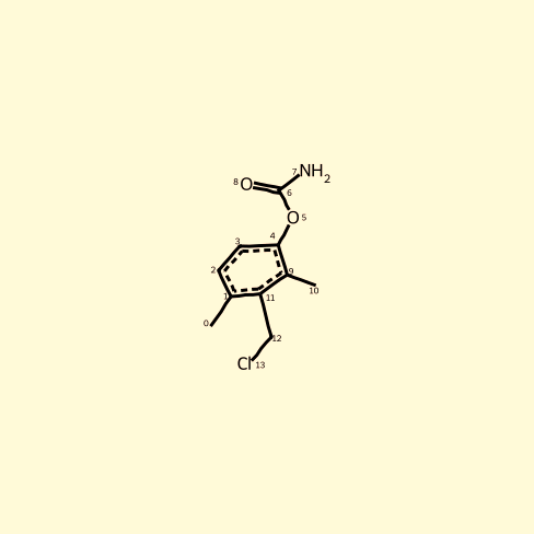 Cc1ccc(OC(N)=O)c(C)c1CCl